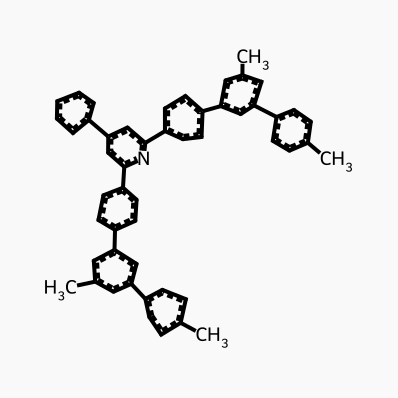 Cc1ccc(-c2cc(C)cc(-c3ccc(-c4cc(-c5ccccc5)cc(-c5ccc(-c6cc(C)cc(-c7ccc(C)cc7)c6)cc5)n4)cc3)c2)cc1